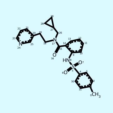 Cc1ccc(S(=O)(=O)Nc2ccccc2C(=O)N(CCc2cccnc2)CC2CC2)cc1